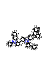 C1=CC(c2cccc3c2c2cc4ccccc4cc2n3-c2ccccc2)=CC(N(C2=CCC(c3cc4ccccc4c4ccccc34)C=C2)c2cccc(-c3ccccc3)c2)C1